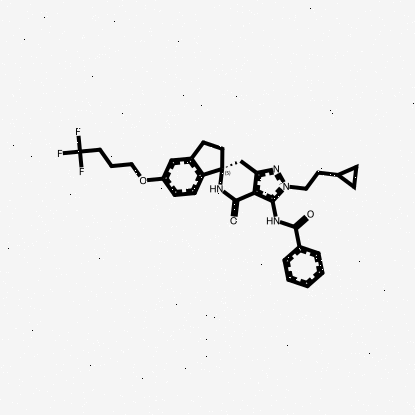 O=C(Nc1c2c(nn1CCC1CC1)C[C@]1(CCc3cc(OCCCC(F)(F)F)ccc31)NC2=O)c1ccccc1